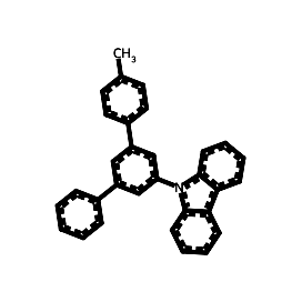 Cc1ccc(-c2cc(-c3ccccc3)cc(-n3c4ccccc4c4ccccc43)c2)cc1